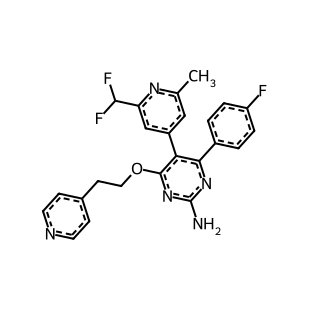 Cc1cc(-c2c(OCCc3ccncc3)nc(N)nc2-c2ccc(F)cc2)cc(C(F)F)n1